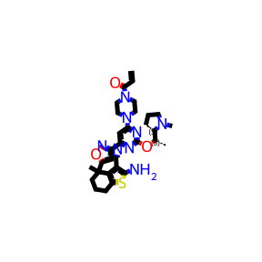 C=CC(=O)N1CCN(c2cc(-c3cc(C4(C)CCCc5sc(N)c(C#N)c54)on3)nc(O[C@@H](C)[C@@H]3CCCN3C)n2)CC1